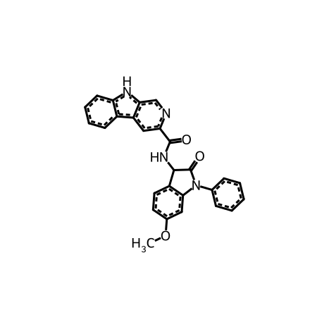 COc1ccc2c(c1)N(c1ccccc1)C(=O)C2NC(=O)c1cc2c(cn1)[nH]c1ccccc12